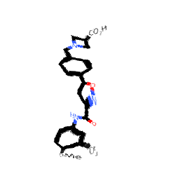 COc1ccc(NC(=O)c2cc(-c3ccc(CN4CC(C(=O)O)C4)cc3)on2)cc1C(F)(F)F